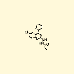 CCC(=O)NNc1nc(-c2ccccc2)c2cc(Cl)ccc2n1